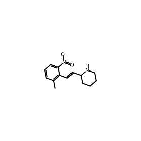 Cc1cccc([N+](=O)[O-])c1C=CC1CCCCN1